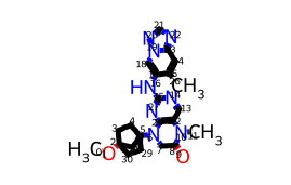 COC12CCC(N3CC(=O)N(C)c4cnc(Nc5cn6ncnc6cc5C)nc43)(CC1)C2